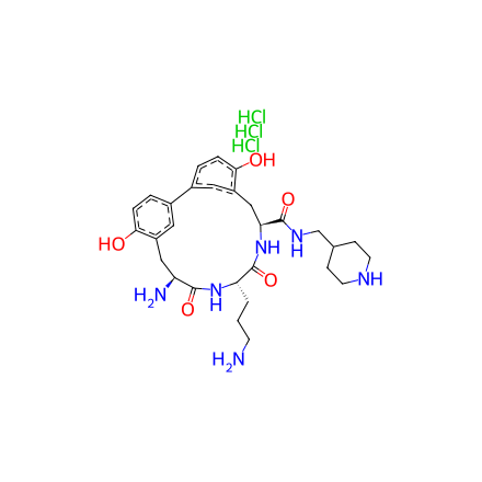 Cl.Cl.Cl.NCCC[C@@H]1NC(=O)[C@@H](N)Cc2cc(ccc2O)-c2ccc(O)c(c2)C[C@@H](C(=O)NCC2CCNCC2)NC1=O